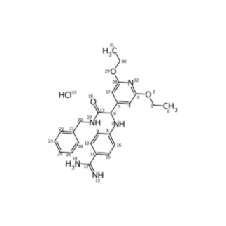 CCOc1cc(C(Nc2ccc(C(=N)N)cc2)C(=O)NCc2ccccc2)cc(OCC)n1.Cl